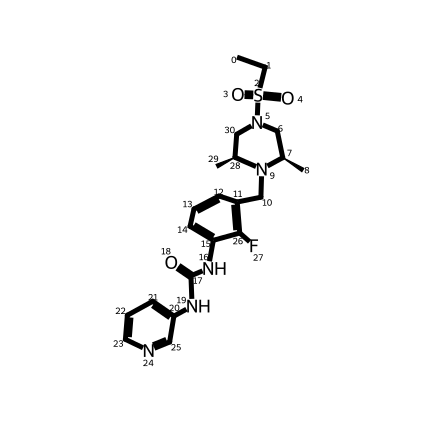 CCS(=O)(=O)N1C[C@@H](C)N(Cc2cccc(NC(=O)Nc3cccnc3)c2F)[C@@H](C)C1